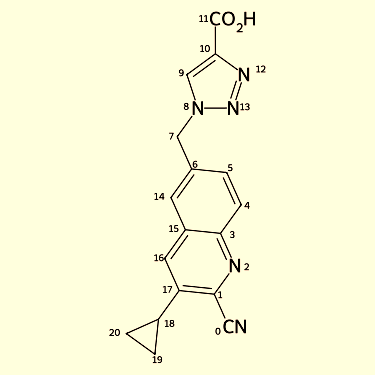 N#Cc1nc2ccc(Cn3cc(C(=O)O)nn3)cc2cc1C1CC1